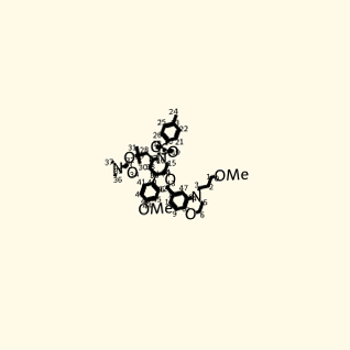 COCCCN1CCOc2ccc(CO[C@H]3CN(S(=O)(=O)c4ccc(C)cc4)[C@H](CC(C)(C)OC(=O)N(C)C)C[C@@H]3c3ccc(OC)cc3)cc21